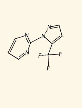 FC(F)(F)c1[c]cnn1-c1ncccn1